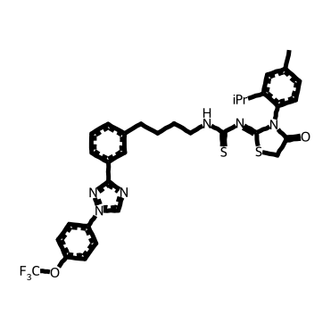 Cc1ccc(N2C(=O)CS/C2=N\C(=S)NCCCCc2cccc(-c3ncn(-c4ccc(OC(F)(F)F)cc4)n3)c2)c(C(C)C)c1